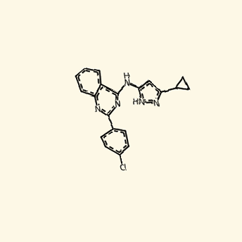 Clc1ccc(-c2nc(Nc3cc(C4CC4)n[nH]3)c3ccccc3n2)cc1